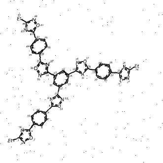 CCc1noc(-c2ccc(-c3nc(-c4cc(-c5noc(-c6ccc(-c7nc(CC)no7)cc6)n5)cc(-c5noc(-c6ccc(-c7nc(CC)no7)cc6)n5)c4)no3)cc2)n1